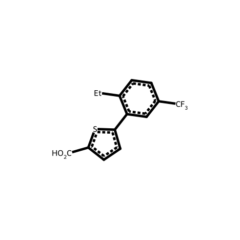 CCc1ccc(C(F)(F)F)cc1-c1ccc(C(=O)O)s1